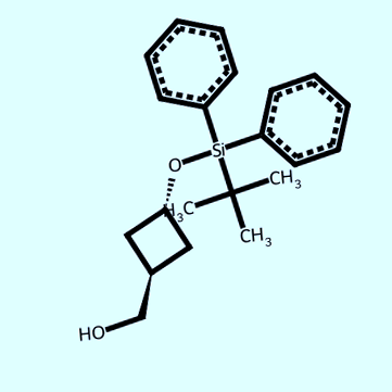 CC(C)(C)[Si](O[C@H]1C[C@H](CO)C1)(c1ccccc1)c1ccccc1